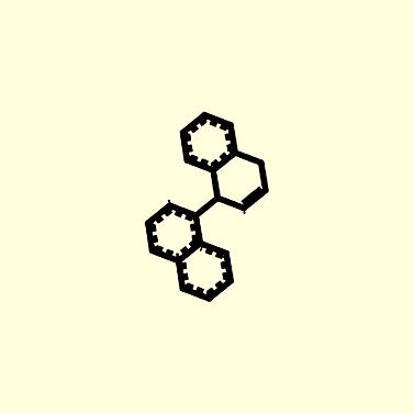 [C]1=CCc2ccccc2C1c1[c]ccc2ccccc12